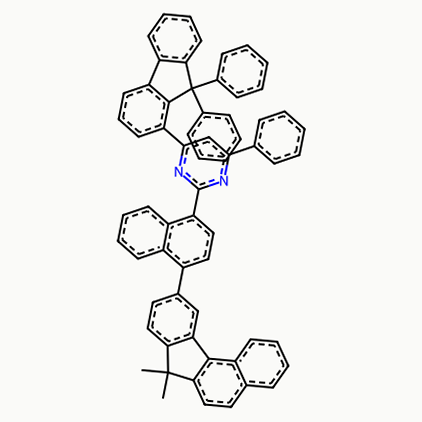 CC1(C)c2ccc(-c3ccc(-c4nc(-c5ccccc5)cc(-c5cccc6c5C(c5ccccc5)(c5ccccc5)c5ccccc5-6)n4)c4ccccc34)cc2-c2c1ccc1ccccc21